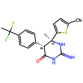 CC(F)(F)c1ccc([C@H]2C(=O)NC(=N)N[C@]2(C)c2ccc(C#N)s2)cc1